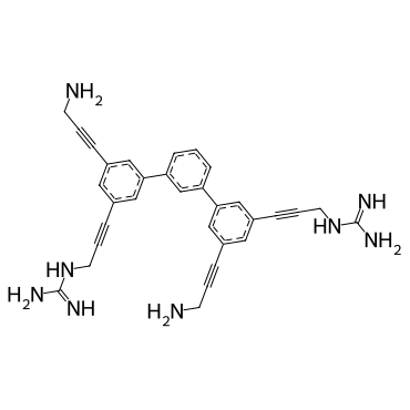 N=C(N)NCC#Cc1cc(C#CCN)cc(-c2cccc(-c3cc(C#CCN)cc(C#CCNC(=N)N)c3)c2)c1